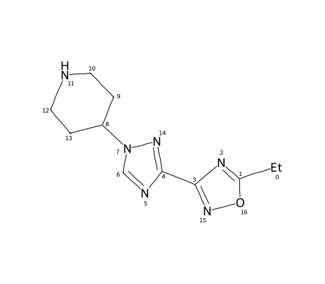 CCc1nc(-c2ncn(C3CCNCC3)n2)no1